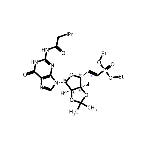 CCOP(=O)(/C=C/[C@H]1O[C@@H](n2cnc3c(=O)[nH]c(NC(=O)CC(C)C)nc32)[C@@H]2OC(C)(C)O[C@@H]21)OCC